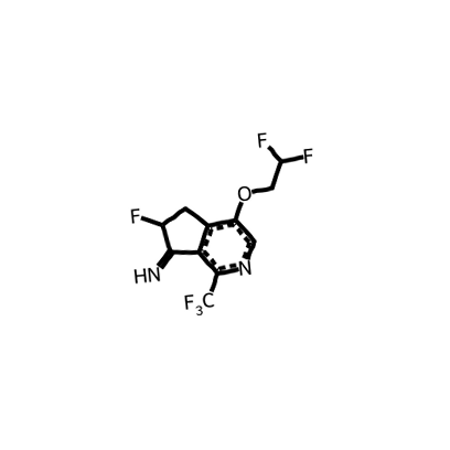 N=C1c2c(C(F)(F)F)ncc(OCC(F)F)c2CC1F